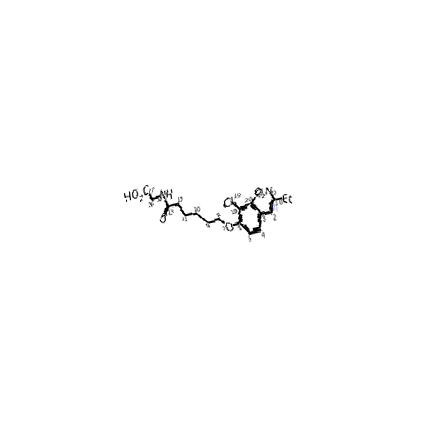 CC/C(=C/c1ccc(OCCCCCC(=O)NCC(=O)O)c(Cl)c1Cl)[N+](=O)[O-]